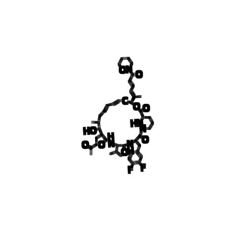 CC(=O)CCC1C(=O)NC(C(C)C)C(=O)NC(Cc2ccc(F)c(F)c2)C(=O)N2CCCC(N2)C(=O)O[C@H](/C(C)=C/C=C/C(=O)N2CCCCO2)C/C=C/C=C/CC(C)C1O